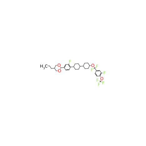 CCCC1COC(c2ccc(C3CCC(C4CCC(OC(F)(F)c5ccc(OC(F)(F)F)c(F)c5)CC4)CC3)c(F)c2)OC1